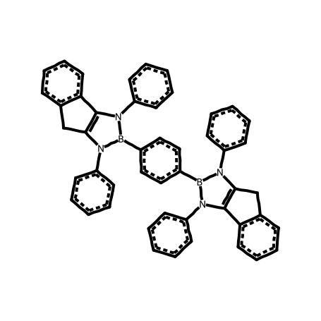 c1ccc(N2B(c3ccc(B4N(c5ccccc5)C5=C(c6ccccc6C5)N4c4ccccc4)cc3)N(c3ccccc3)C3=C2Cc2ccccc23)cc1